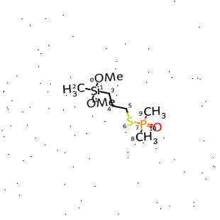 CO[Si](C)(CCCSP(C)(C)=O)OC